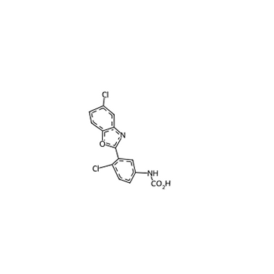 O=C(O)Nc1ccc(Cl)c(-c2nc3cc(Cl)ccc3o2)c1